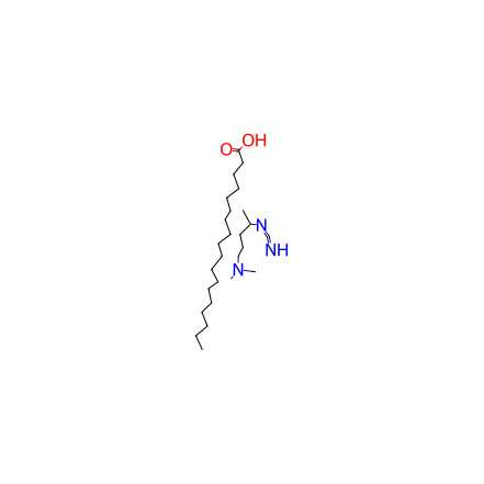 CC(CCCN(C)C)N=C=N.CCCCCCCCCCCCCCCCCC(=O)O